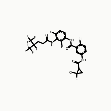 O=C(CCC(F)(C(F)(F)F)C(F)(F)F)Nc1c(F)ccc(NC(=O)c2cc(NC(=O)C3CC3(Cl)Cl)ccc2Cl)c1F